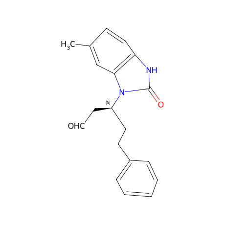 Cc1ccc2[nH]c(=O)n([C@H](CC=O)CCc3ccccc3)c2c1